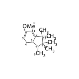 COC1=C2C(CC=C1)C(C)C(C)(C)C2(C)C